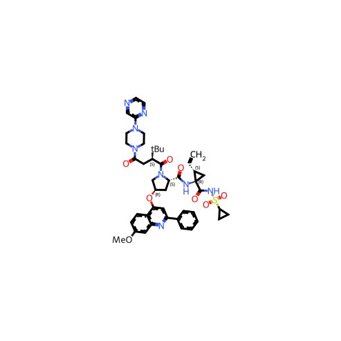 C=C[C@@H]1C[C@]1(NC(=O)[C@@H]1C[C@@H](Oc2cc(-c3ccccc3)nc3cc(OC)ccc23)CN1C(=O)[C@@H](CC(=O)N1CCN(c2cnccn2)CC1)C(C)(C)C)C(=O)NS(=O)(=O)C1CC1